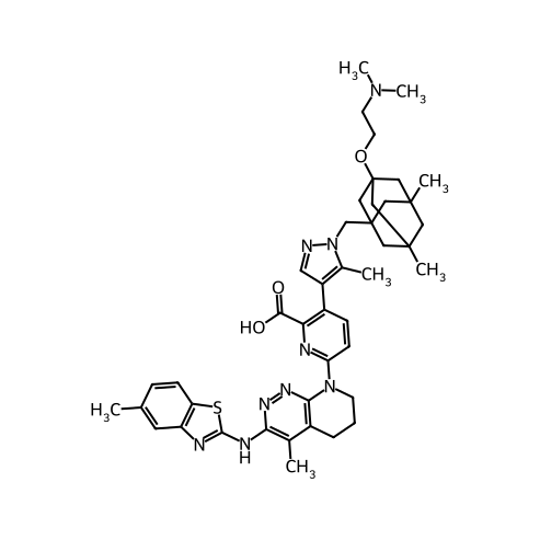 Cc1ccc2sc(Nc3nnc4c(c3C)CCCN4c3ccc(-c4cnn(CC56CC7(C)CC(C)(C5)CC(OCCN(C)C)(C7)C6)c4C)c(C(=O)O)n3)nc2c1